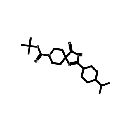 CC(C)C1CCC(C2=NC3(CCN(C(=O)OC(C)(C)C)CC3)C(=O)N2)CC1